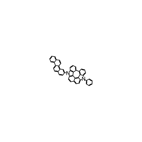 c1ccc(-n2c3cccc4c3c3c5c(ccc32)ccc2c5c3c-4cccc3n2-c2ccc3ccc4c5ccccc5ccc4c3c2)cc1